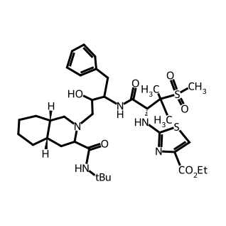 CCOC(=O)c1csc(N[C@H](C(=O)NC(Cc2ccccc2)C(O)CN2C[C@H]3CCCC[C@H]3CC2C(=O)NC(C)(C)C)C(C)(C)S(C)(=O)=O)n1